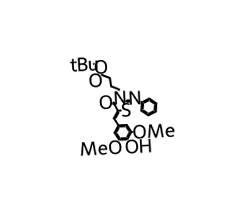 COc1cc(/C=C2\S/C(=N\c3ccccc3)N(CCCC(=O)OC(C)(C)C)C2=O)cc(OC)c1O